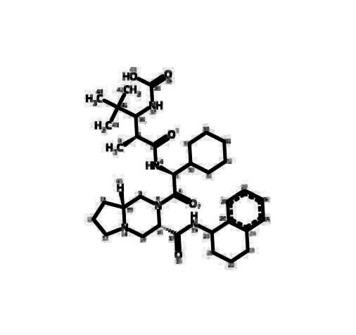 C[C@H](C(=O)N[C@H](C(=O)N1C[C@H]2CCCN2C[C@H]1C(=O)NC1CCCc2ccccc21)C1CCCCC1)C(NC(=O)O)C(C)(C)C